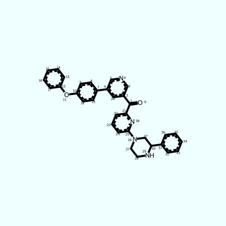 O=C(c1cncc(-c2ccc(Oc3ccccc3)cc2)c1)c1cccc(N2CCNC(c3ccccc3)C2)n1